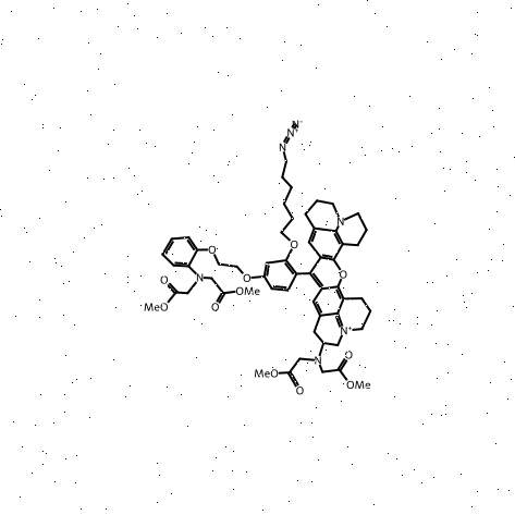 COC(=O)CN(CC(=O)OC)c1ccccc1OCCOc1ccc(C2=c3cc4c5c(c3Oc3c2cc2c6c3CCCN6CCC2)CCC[N+]=5CC(N(CC(=O)OC)CC(=O)OC)C4)c(OCCCCCCN=[N+]=[N-])c1